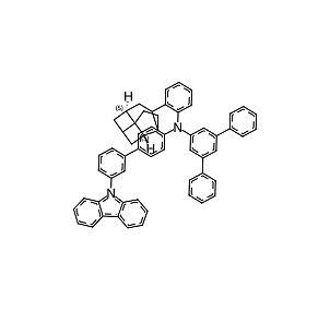 c1ccc(-c2cc(-c3ccccc3)cc(N(c3ccc(-c4cccc(-n5c6ccccc6c6ccccc65)c4)cc3)c3ccccc3C3C[C@@H]4CC5C[C@H]6C3CCC546)c2)cc1